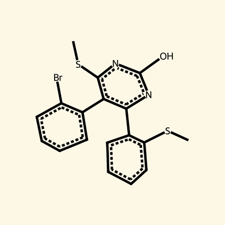 CSc1ccccc1-c1nc(O)nc(SC)c1-c1ccccc1Br